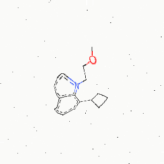 COCCn1ccc2cccc(C3CCC3)c21